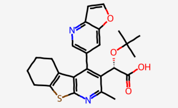 Cc1nc2sc3c(c2c(-c2cnc4ccoc4c2)c1[C@H](OC(C)(C)C)C(=O)O)CCCC3